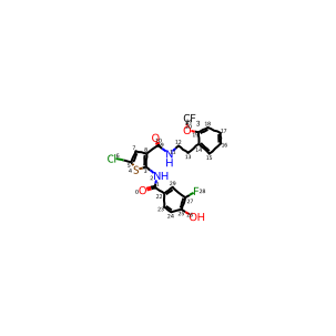 O=C(Nc1sc(Cl)cc1C(=O)NCCc1ccccc1OC(F)(F)F)c1ccc(O)c(F)c1